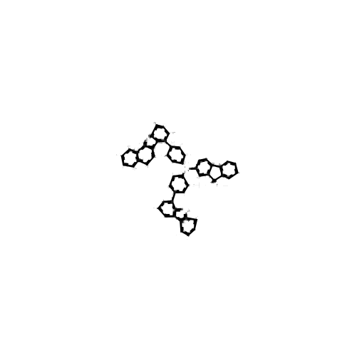 CC1(C)c2ccccc2-c2ccc(N(c3ccc(-c4cccc5c4oc4ccccc45)cc3)c3ccc(-c4cccc5oc6c7ccccc7ccc6c45)cc3)cc21